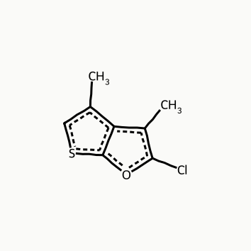 Cc1csc2oc(Cl)c(C)c12